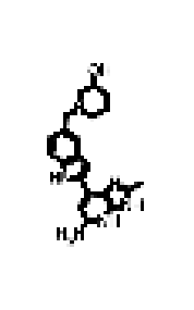 Cc1nc2c([nH]1)NC(N)C=C2c1cc2cc(CN3CCCC(O)C3)ccc2[nH]1